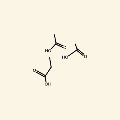 CC(=O)O.CC(=O)O.CCC(=O)O